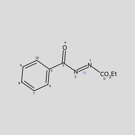 CCOC(=O)/N=N/C(=O)c1ccccc1